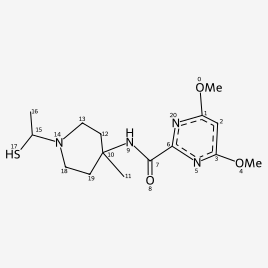 COc1cc(OC)nc(C(=O)NC2(C)CCN(C(C)S)CC2)n1